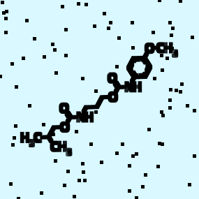 COc1ccc(NC(=O)OCCCNC(=O)OCC(C)C)cc1